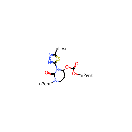 CCCCCCc1nnc(N2C(=O)N(CCCCC)CCC2OC(=O)OCCCCC)s1